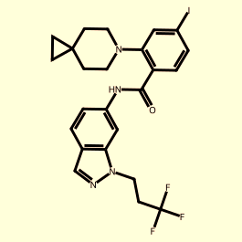 O=C(Nc1ccc2cnn(CCC(F)(F)F)c2c1)c1ccc(I)cc1N1CCC2(CC1)CC2